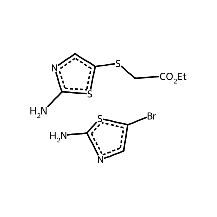 CCOC(=O)CSc1cnc(N)s1.Nc1ncc(Br)s1